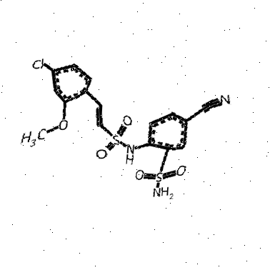 COc1cc(Cl)ccc1C=CS(=O)(=O)Nc1ccc(C#N)cc1S(N)(=O)=O